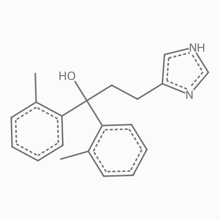 Cc1ccccc1C(O)(CCc1c[nH]cn1)c1ccccc1C